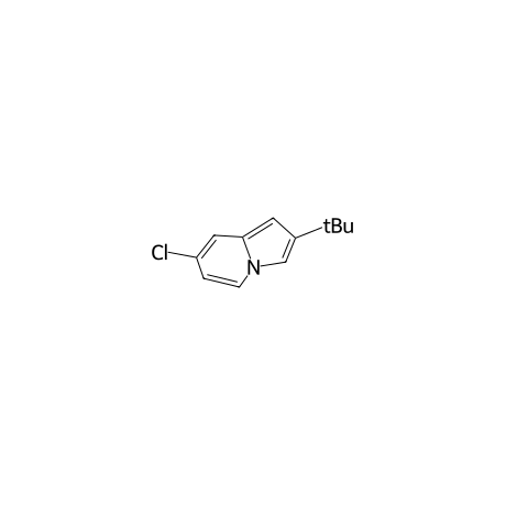 CC(C)(C)c1cc2cc(Cl)ccn2c1